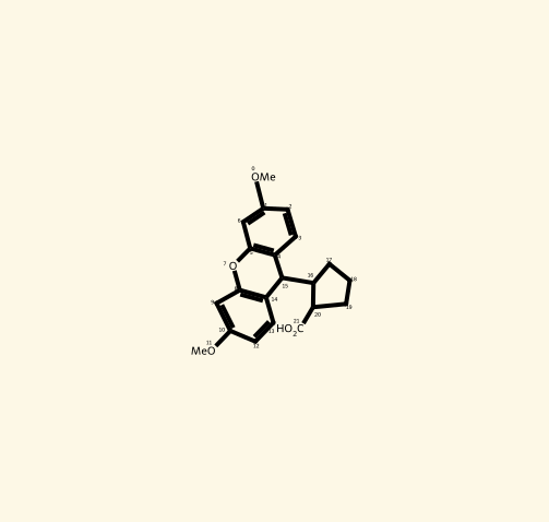 COc1ccc2c(c1)Oc1cc(OC)ccc1C2C1CCCC1C(=O)O